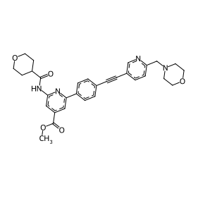 COC(=O)c1cc(NC(=O)C2CCOCC2)nc(-c2ccc(C#Cc3ccc(CN4CCOCC4)nc3)cc2)c1